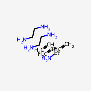 C=C.C=C.C=C.NCCN.NCCN.[CH2]CN